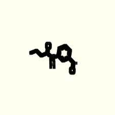 CCCC(=O)Nc1cccc([C]=O)c1